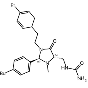 CCC1=CCC(CCN2C(=O)[C@H](CNC(N)=O)N(C)[C@H]2c2ccc(C(C)(C)C)cc2)C=C1